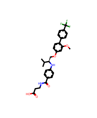 COc1cc(OC[C@@H](Nc2ccc(C(=O)NCCC(=O)O)cc2)C(C)C)ccc1-c1ccc(C(F)(F)F)cc1